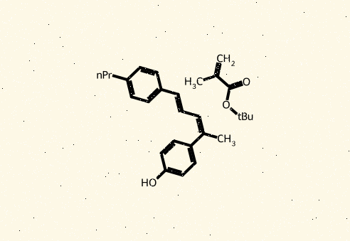 C=C(C)C(=O)OC(C)(C)C.CCCc1ccc(C=CC=C(C)c2ccc(O)cc2)cc1